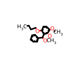 CCCCOc1ccc(OC)c(OC)c1C(=O)c1ccccc1